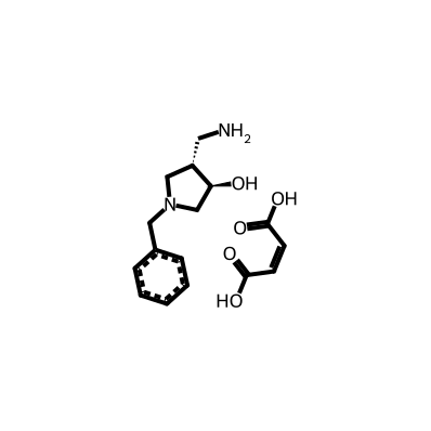 NC[C@H]1CN(Cc2ccccc2)C[C@@H]1O.O=C(O)/C=C\C(=O)O